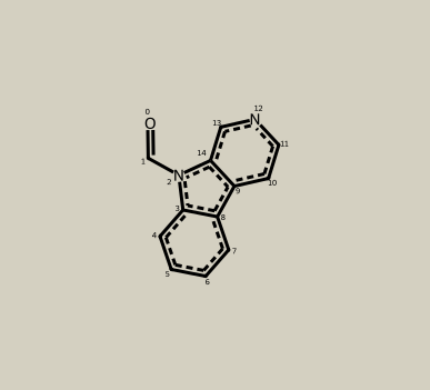 O=Cn1c2ccccc2c2ccncc21